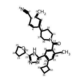 C=C/C=C(\C=C/CC#N)C1CCN(C(=O)c2cc(-c3nnc([C@@H]4CCCO4)[nH]3)c(C3CCC3)cc2C)CC1